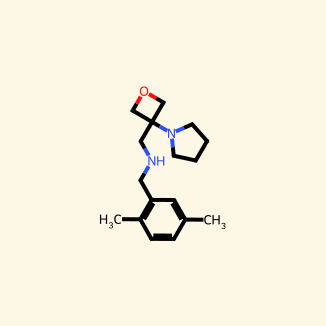 Cc1ccc(C)c(CNCC2(N3CCCC3)COC2)c1